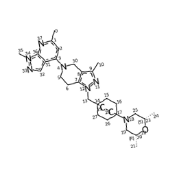 Cc1cc(N2CCc3c(c(C)nn3CC34CCC(N5C[C@@H](C)O[C@@H](C)C5)(CC3)CC4)C2)c2cnn(C)c2n1